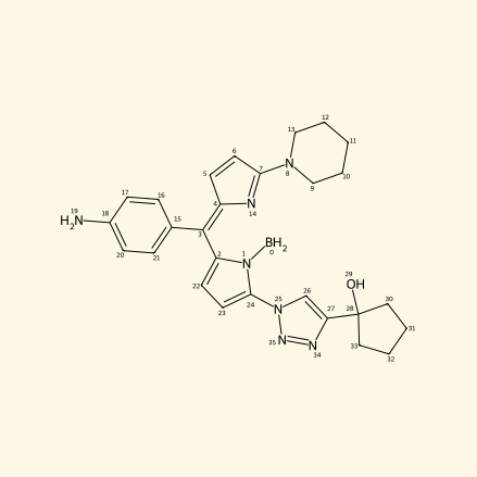 Bn1c(/C(=C2/C=CC(N3CCCCC3)=N2)c2ccc(N)cc2)ccc1-n1cc(C2(O)CCCC2)nn1